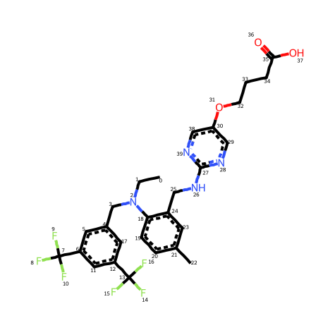 CCN(Cc1cc(C(F)(F)F)cc(C(F)(F)F)c1)c1ccc(C)cc1CNc1ncc(OCCCC(=O)O)cn1